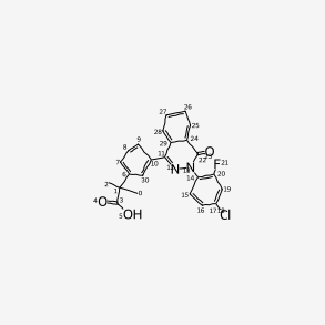 CC(C)(C(=O)O)c1cccc(-c2nn(-c3ccc(Cl)cc3F)c(=O)c3ccccc23)c1